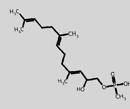 CC(C)=CCCC(C)=CCCC(C)=CC(O)COP(C)(=O)O